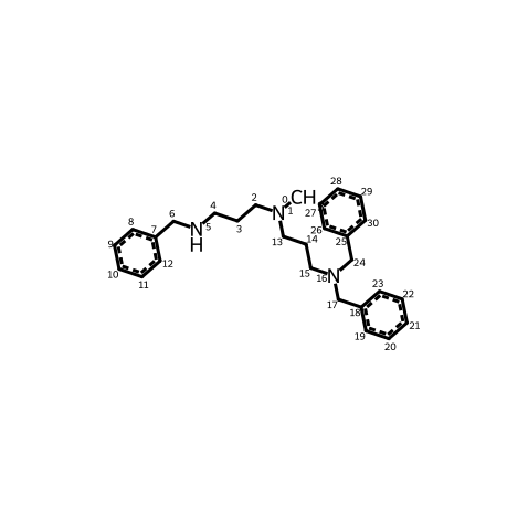 CN(CCCNCc1ccccc1)CCCN(Cc1ccccc1)Cc1ccccc1